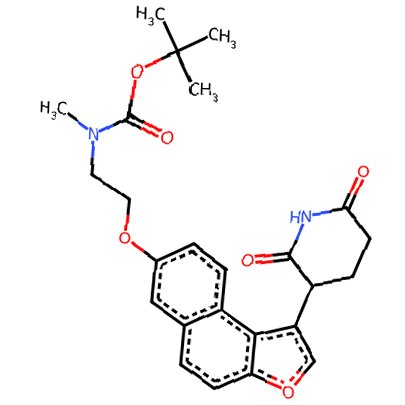 CN(CCOc1ccc2c(ccc3occ(C4CCC(=O)NC4=O)c32)c1)C(=O)OC(C)(C)C